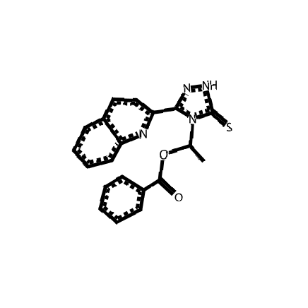 CC(OC(=O)c1ccccc1)n1c(-c2ccc3ccccc3n2)n[nH]c1=S